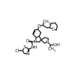 CC(CC1CCCCC1)OC1C=CC2C(C1)C1(CCN(C(C)O)C1)CN2C(=O)NC1=NCC(Cl)S1